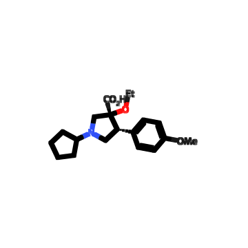 CCO[C@@]1(C(=O)O)CN(C2CCCC2)C[C@H]1c1ccc(OC)cc1